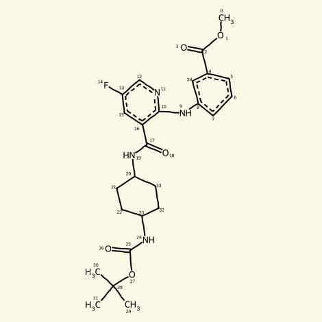 COC(=O)c1cccc(Nc2ncc(F)cc2C(=O)NC2CCC(NC(=O)OC(C)(C)C)CC2)c1